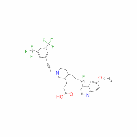 COc1ccc2nccc([C@@H](F)CCC3CCN(CC#Cc4cc(C(F)(F)F)cc(C(F)(F)F)c4)CC3CCC(=O)O)c2c1